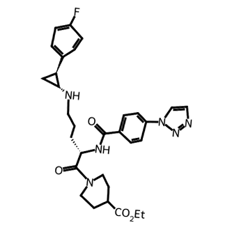 CCOC(=O)C1CCN(C(=O)[C@H](CCCN[C@@H]2C[C@H]2c2ccc(F)cc2)NC(=O)c2ccc(-n3ccnn3)cc2)CC1